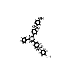 O=S(=O)(c1ccc(O)cc1)c1ccc(-c2nc(-c3ccccc3)nc(-c3ccc(S(=O)(=O)c4ccc(O)cc4)cc3)n2)cc1